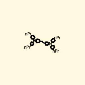 CCCc1ccc(N(c2ccc(CCC)cc2)c2ccc(CCc3ccc(N(c4ccc(CCC)cc4)c4ccc(CCC)cc4)cc3)cc2)cc1